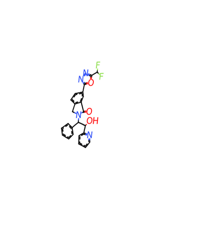 O=C1c2cc(-c3nnc(C(F)F)o3)ccc2CN1C(c1ccccc1)C(O)c1ccccn1